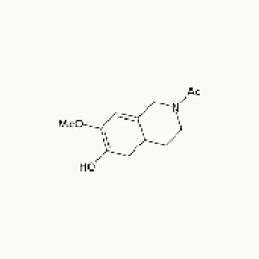 COC1=C(O)CC2CCN(C(C)=O)CC2=C1